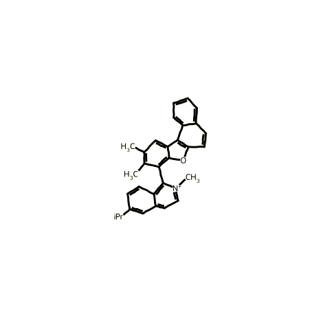 Cc1cc2c(oc3ccc4ccccc4c32)c(-c2c3ccc(C(C)C)cc3cc[n+]2C)c1C